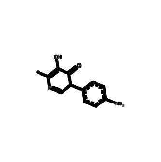 CC1=C(O)C(=O)C(c2ccc([N+](=O)[O-])cc2)C=N1